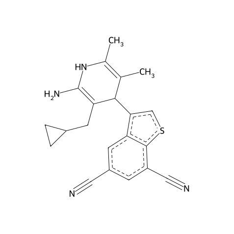 CC1=C(C)C(c2csc3c(C#N)cc(C#N)cc23)C(CC2CC2)=C(N)N1